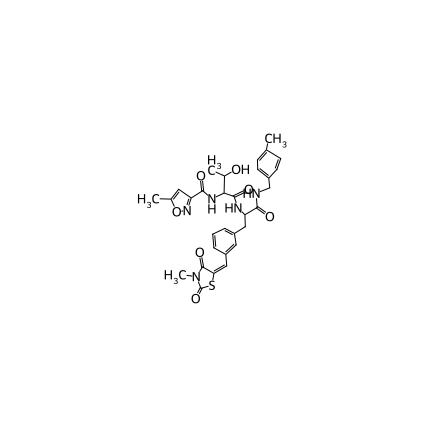 Cc1ccc(CNC(=O)C(Cc2cccc(C=C3SC(=O)N(C)C3=O)c2)NC(=O)C(NC(=O)c2cc(C)on2)C(C)O)cc1